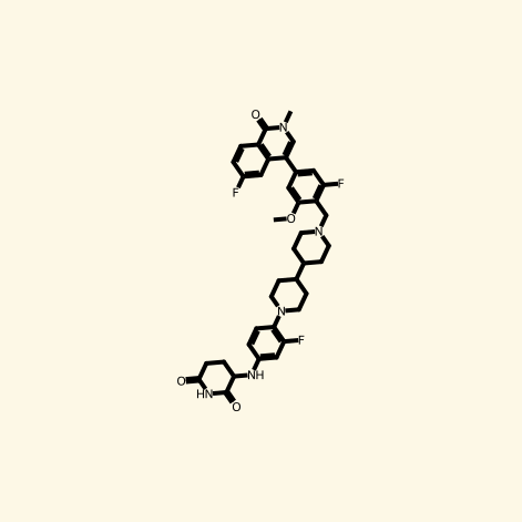 COc1cc(-c2cn(C)c(=O)c3ccc(F)cc23)cc(F)c1CN1CCC(C2CCN(c3ccc(NC4CCC(=O)NC4=O)cc3F)CC2)CC1